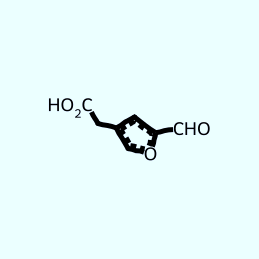 O=Cc1cc(CC(=O)O)co1